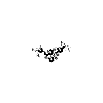 CC1(C)C[C@H](CCC(Nc2cccc(S(=O)(=O)NC(=O)c3ccc(C(C)(C)C)nc3F)n2)c2ccc(Br)cn2)CN1